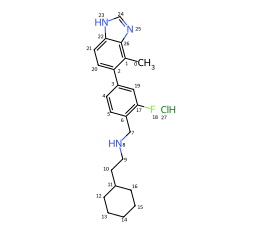 Cc1c(-c2ccc(CNCCC3CCCCC3)c(F)c2)ccc2[nH]cnc12.Cl